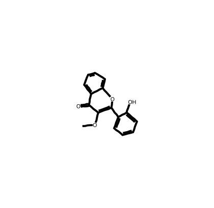 COc1c(-c2ccccc2O)oc2ccccc2c1=O